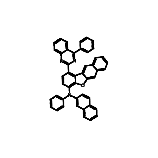 c1ccc(-c2nc(-c3ccc(N(c4ccccc4)c4ccc5ccccc5c4)c4oc5cc6ccccc6cc5c34)nc3ccccc23)cc1